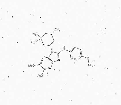 COc1cc2c(cc1OC(C)=O)nc(Nc1ccc(OC(F)(F)F)cc1)n2[C@H]1C[C@@H](C)CC(C)(C)C1